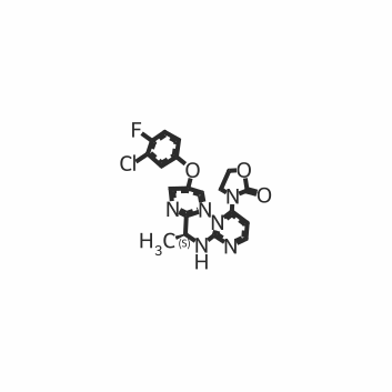 C[C@H](Nc1nccc(N2CCOC2=O)n1)c1ncc(Oc2ccc(F)c(Cl)c2)cn1